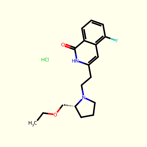 CCOC[C@H]1CCCN1CCc1cc2c(F)cccc2c(=O)[nH]1.Cl